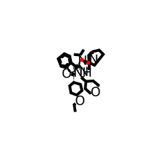 CCO[C@H]1CC[C@H](C(=O)N[C@@H](CCN2C3CCC2CC2(C3)CN(CC3CCOCC3)C(=O)N2C(C)C)c2ccccc2)CC1